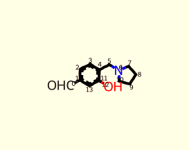 O=Cc1ccc(CN2CCCC2)c(O)c1